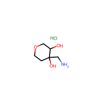 Cl.NCC1(O)CCOCC1O